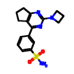 NS(=O)(=O)c1cccc(-c2nc(N3CCC3)nc3c2CCC3)c1